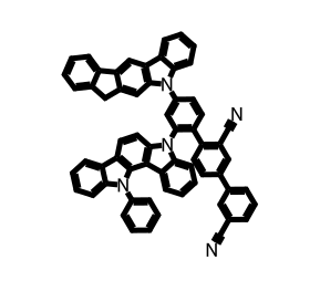 N#Cc1cccc(-c2ccc(-c3ccc(-n4c5ccccc5c5cc6c(cc54)Cc4ccccc4-6)cc3-n3c4ccccc4c4c3ccc3c5ccccc5n(-c5ccccc5)c34)c(C#N)c2)c1